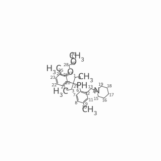 CCC(CC)(Pc1ccc(C)cc1CN1CCCCC1)c1cccc(C)c1OCOC